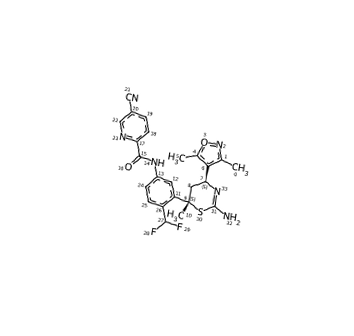 Cc1noc(C)c1[C@@H]1C[C@@](C)(c2cc(NC(=O)c3ccc(C#N)cn3)ccc2C(F)F)SC(N)=N1